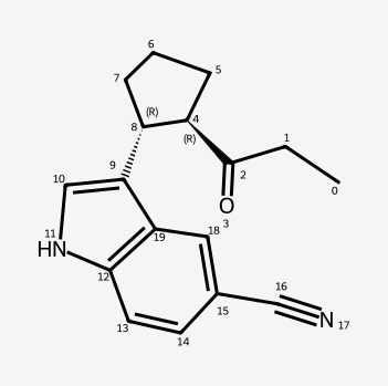 CCC(=O)[C@@H]1CCC[C@H]1c1c[nH]c2ccc(C#N)cc12